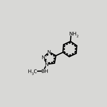 CBn1cc(-c2cccc(N)c2)nn1